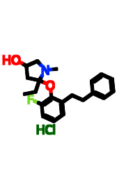 CCC1(Oc2c(F)cccc2CCc2ccccc2)CC(O)CN1C.Cl